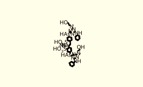 CN(CCO)c1nc(Nc2ccccc2)nc([AsH]c2ccc(C=Cc3ccc([AsH]c4nc(Nc5ccccc5)nc(N(C)CCO)n4)cc3S(=O)(=O)O)c(S(=O)(=O)O)c2)n1.[Na].[Na]